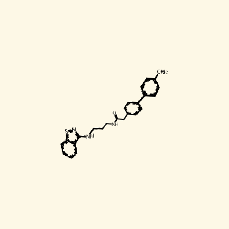 COc1ccc(-c2ccc(CC(=O)NCCCNc3nsc4ccccc34)cc2)cc1